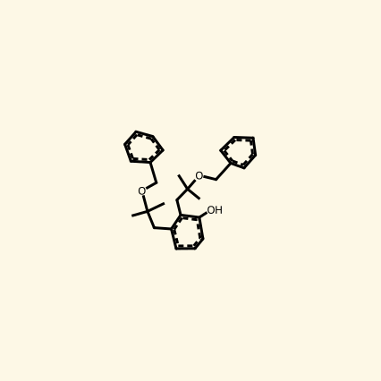 CC(C)(Cc1cccc(O)c1CC(C)(C)OCc1ccccc1)OCc1ccccc1